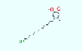 COc1cc(C)c(CCCCCCCCCCCCBr)cc1OC